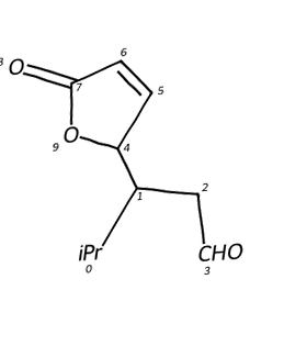 CC(C)C(CC=O)C1C=CC(=O)O1